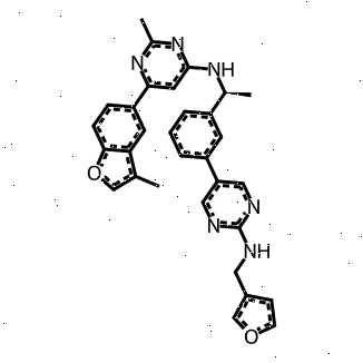 Cc1nc(N[C@@H](C)c2cccc(-c3cnc(NCc4ccoc4)nc3)c2)cc(-c2ccc3occ(C)c3c2)n1